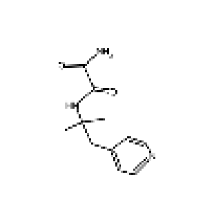 CC(C)(Cc1ccncc1)NC(=O)C(N)=O